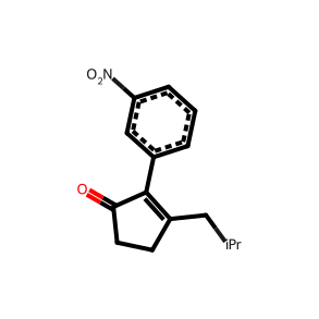 CC(C)CC1=C(c2cccc([N+](=O)[O-])c2)C(=O)CC1